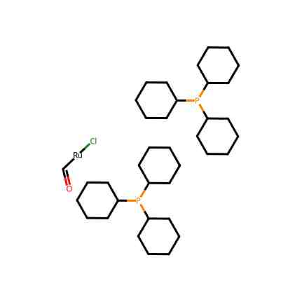 C1CCC(P(C2CCCCC2)C2CCCCC2)CC1.C1CCC(P(C2CCCCC2)C2CCCCC2)CC1.O=[CH][Ru][Cl]